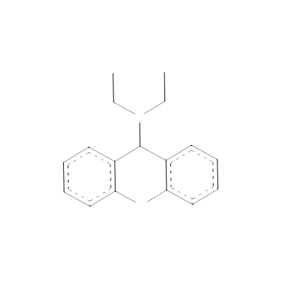 CCP(CC)C1c2ccccc2Oc2ccccc21